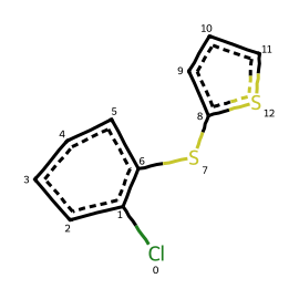 Clc1ccccc1Sc1cccs1